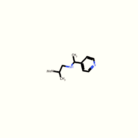 CNC(C)CNC(C)c1ccncc1